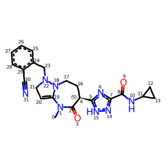 CN1C(=O)[C@H](c2nc(C(=O)NC3CC3)n[nH]2)CCN2C1=CCN2Cc1ccccc1C#N